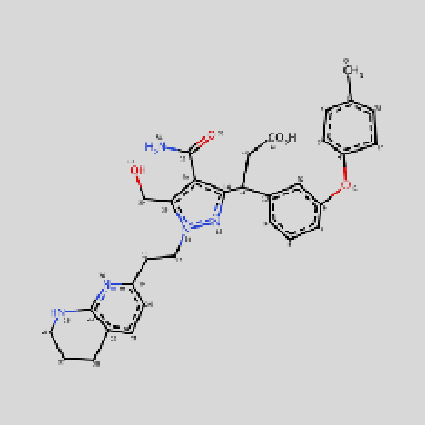 Cc1ccc(Oc2cccc(C(CC(=O)O)c3nn(CCc4ccc5c(n4)NCCC5)c(CO)c3C(N)=O)c2)cc1